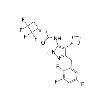 Cn1nc(Cc2cc(F)cc(F)c2F)c(C2CCC2)c1NC(=O)C[C@H]1CC(F)(F)C1(F)F